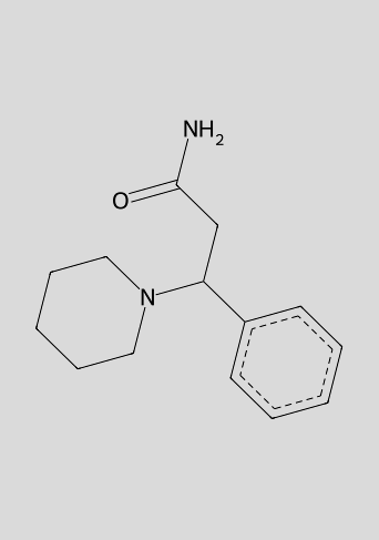 NC(=O)CC(c1ccccc1)N1CCCCC1